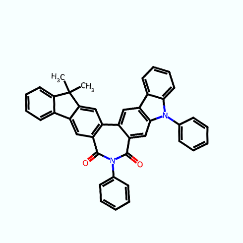 CC1(C)c2ccccc2-c2cc3c(=O)n(-c4ccccc4)c(=O)c4cc5c(cc4c3cc21)c1ccccc1n5-c1ccccc1